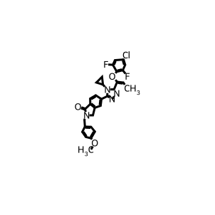 C/C=C(/Oc1c(F)cc(Cl)cc1F)c1nnc(-c2ccc3c(c2)CN(Cc2ccc(OC)cc2)C3=O)n1C1CC1